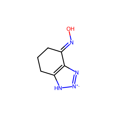 ON=C1CCCC2=C1N=[N+]N2